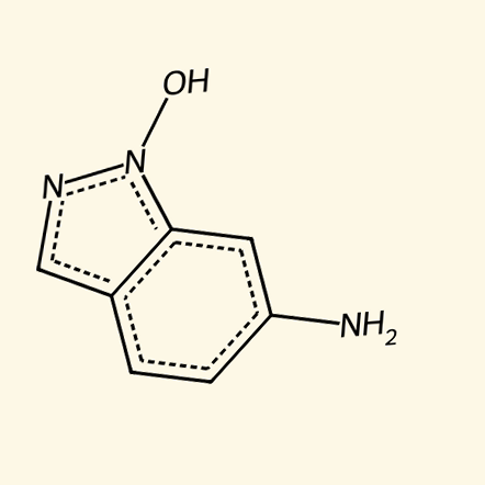 Nc1ccc2cnn(O)c2c1